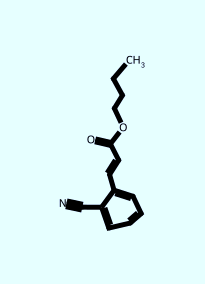 CCCCOC(=O)C=Cc1ccccc1C#N